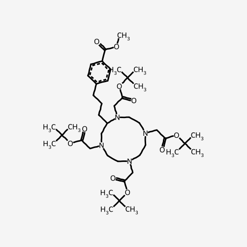 COC(=O)c1ccc(CCCC2CN(CC(=O)OC(C)(C)C)CCN(CC(=O)OC(C)(C)C)CCN(CC(=O)OC(C)(C)C)CCN2CC(=O)OC(C)(C)C)cc1